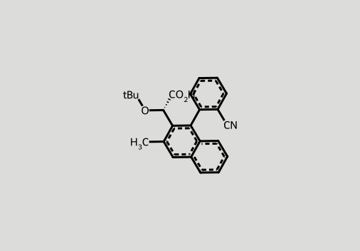 Cc1cc2ccccc2c(-c2ccccc2C#N)c1[C@H](OC(C)(C)C)C(=O)O